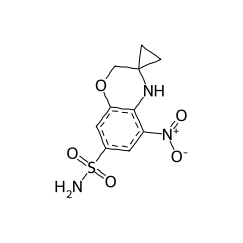 NS(=O)(=O)c1cc2c(c([N+](=O)[O-])c1)NC1(CC1)CO2